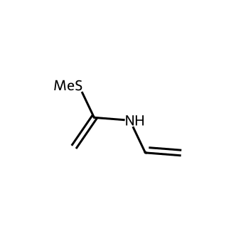 C=CNC(=C)SC